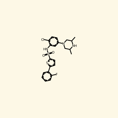 CC1CN(c2ccc(Cl)c(NS(=O)(=O)c3ccc(-c4ccccc4F)s3)c2)CC(C)N1